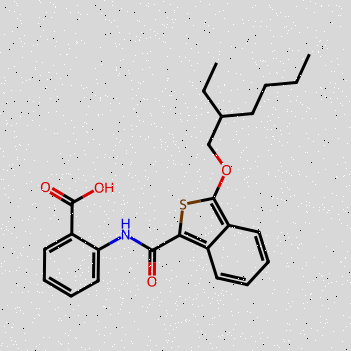 CCCCC(CC)COc1sc(C(=O)Nc2ccccc2C(=O)O)c2ccccc12